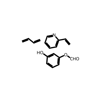 C=CC=C.C=Cc1ccccn1.O=COc1cccc(O)c1